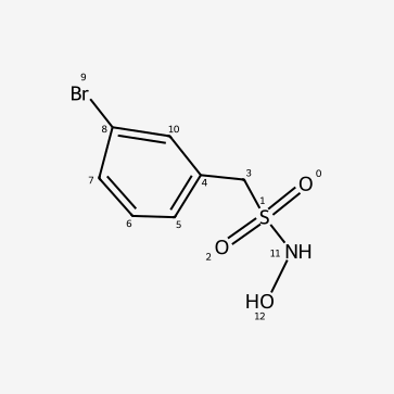 O=S(=O)(Cc1cccc(Br)c1)NO